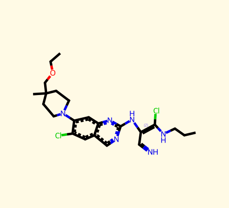 CCCN/C(Cl)=C(\C=N)Nc1ncc2cc(Cl)c(N3CCC(C)(COCC)CC3)cc2n1